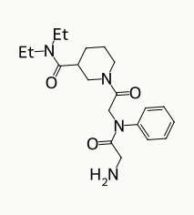 CCN(CC)C(=O)C1CCCN(C(=O)CN(C(=O)CN)c2ccccc2)C1